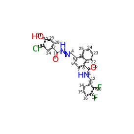 O=C(N/N=C/c1ccc(C(=O)NCc2cccc(F)c2F)c2ccccc12)c1ccc(O)c(Cl)c1